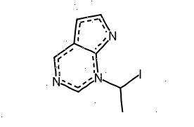 CC(I)n1cncc2ccnc1-2